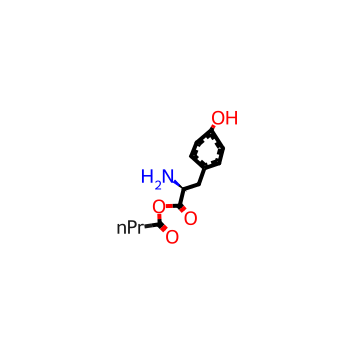 CCCC(=O)OC(=O)[C@@H](N)Cc1ccc(O)cc1